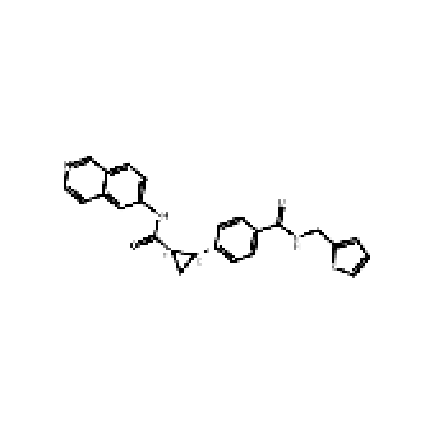 O=C(NCc1cccs1)c1ccc([C@@H]2C[C@H]2C(=O)Nc2ccc3cnccc3c2)cc1